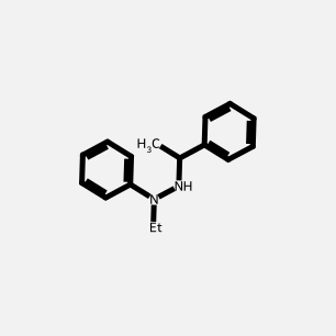 CCN(NC(C)c1ccccc1)c1ccccc1